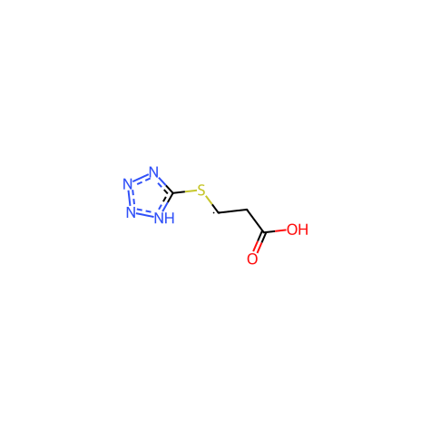 O=C(O)C[CH]Sc1nnn[nH]1